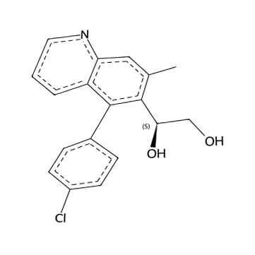 Cc1cc2ncccc2c(-c2ccc(Cl)cc2)c1[C@H](O)CO